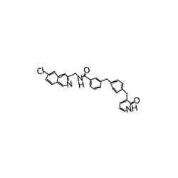 O=C(NCc1cc2cc(Cl)ccc2cn1)c1cccc(Cc2ccc(Cc3ccc[nH]c3=O)cc2)c1